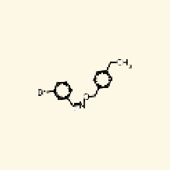 CCc1ccc(CO/N=[C]\c2cccc(Br)c2)cc1